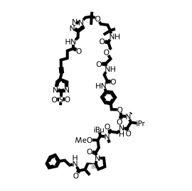 CCC(C)C(C(CC(=O)N1CCC[C@H]1CC(C)C(=O)NCCc1ccccc1)OC)N(C)C(=O)CNC(=O)C(C(C)C)N(C)C(=O)OCc1ccc(NC(=O)CNC(=O)COCC(=O)NC(C)(C)CCOC(C)(C)Cn2cc(CNC(=O)CCCC#Cc3cnc(S(C)(=O)=O)nc3)nn2)cc1